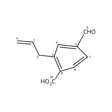 C=CCc1cc(C=O)ccc1C(=O)O